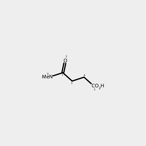 [CH2]NC(=O)CCC(=O)O